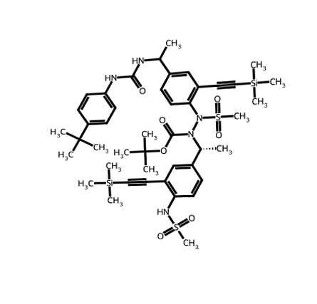 CC(NC(=O)Nc1ccc(C(C)(C)C)cc1)c1ccc(N(N(C(=O)OC(C)(C)C)[C@H](C)c2ccc(NS(C)(=O)=O)c(C#C[Si](C)(C)C)c2)S(C)(=O)=O)c(C#C[Si](C)(C)C)c1